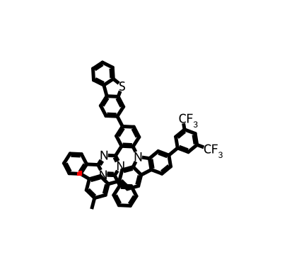 Cc1cc(C)cc(-c2ccc3c4ccc(-c5cc(C(F)(F)F)cc(C(F)(F)F)c5)cc4n(-c4ccc(-c5ccc6c(c5)sc5ccccc56)cc4-c4nc(-c5ccccc5)nc(-c5ccccc5)n4)c3c2)c1